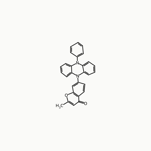 Cc1cc(=O)c2ccc(N3c4ccccc4N(c4ccccc4)c4ccccc43)cc2o1